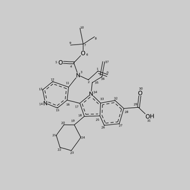 C=CCN(C(=O)OC(C)(C)C)c1ccncc1-c1c(C2CCCCC2)c2ccc(C(=O)O)cc2n1CC=C